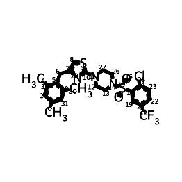 Cc1cc(C)c(Cc2csc(N3CCN(S(=O)(=O)c4cc(C(F)(F)F)ccc4Cl)CC3)n2)c(C)c1